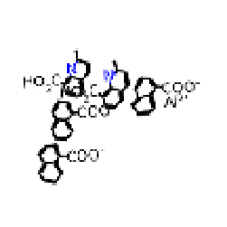 Cc1ccc2cccc(C(=O)O)c2n1.Cc1ccc2cccc(C(=O)O)c2n1.O=C([O-])c1cccc2ccccc12.O=C([O-])c1cccc2ccccc12.O=C([O-])c1cccc2ccccc12.[Al+3]